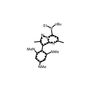 CCCCN(CC)c1cc(C)nc2c(-c3c(NC)cc(NC)cc3NC)c(C)nn12